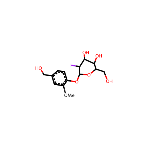 COc1cc(CO)ccc1OC1OC(CO)C(O)C(O)C1I